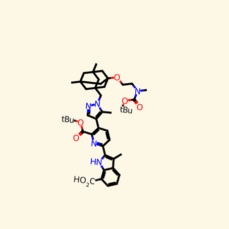 Cc1c(-c2ccc(-c3cnn(CC45CC6(C)CC(C)(C4)CC(OCCN(C)C(=O)OC(C)(C)C)(C6)C5)c3C)c(C(=O)OC(C)(C)C)n2)[nH]c2c(C(=O)O)cccc12